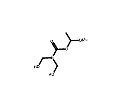 COC(C)OC(=O)N(CO)CO